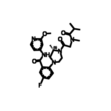 COc1cc(NC(=O)c2cc(F)ccc2N2CCN(C(=O)CN(C)C(=O)C(C)C)[C@@H](C)C2)ccn1